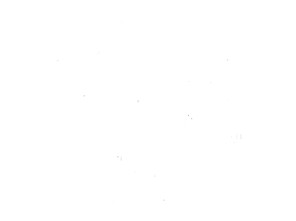 NC(Cc1ccccc1)C(=O)O.O=C(NC(CS)C(=O)O)OCC1c2ccccc2-c2ccccc21